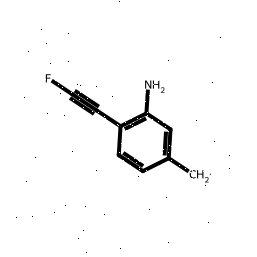 [CH2]c1ccc(C#CF)c(N)c1